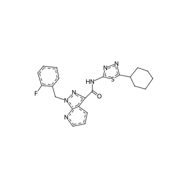 O=C(Nc1nnc(C2CCCCC2)s1)c1nn(Cc2ccccc2F)c2ncccc12